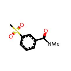 CNC(=O)c1cccc(S(C)(=O)=O)c1